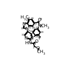 COCC(=O)Nc1ccc(-n2cnc3c(C)cc(C(=O)N(C)c4ccc(F)c(F)c4)cc32)cn1